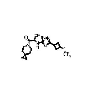 CC(Nc1nnc(C2CC(OC(F)(F)F)C2)o1)C(=O)N1CCC2(CC1)CC2